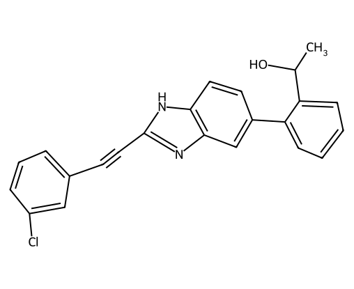 CC(O)c1ccccc1-c1ccc2[nH]c(C#Cc3cccc(Cl)c3)nc2c1